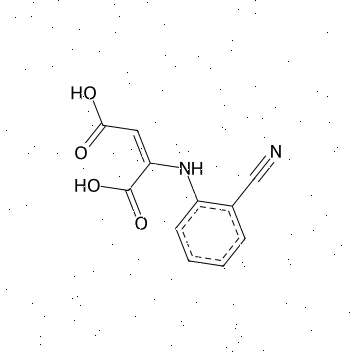 N#Cc1ccccc1NC(=CC(=O)O)C(=O)O